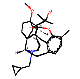 COC12CCC3(C[C@@H]1C(C)(C)O)[C@H]1Cc4ccc(C)c5c4[C@@]3(CCN1CC1CC1)[C@H]2O5